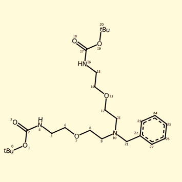 CC(C)(C)OC(=O)NCCOCCN(CCOCCNC(=O)OC(C)(C)C)Cc1ccccc1